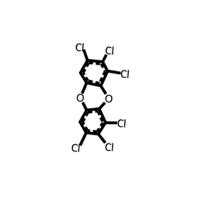 Clc1cc2c(c(Cl)c1Cl)Oc1c(cc(Cl)c(Cl)c1Cl)O2